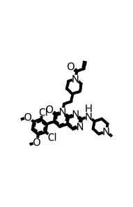 C=CC(=O)N1CCC(CCn2c(=O)c(-c3c(Cl)c(OC)cc(OC)c3Cl)cc3cnc(NC4CCN(C)CC4)nc32)CC1